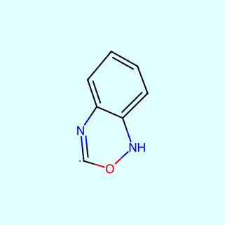 [C]1=Nc2ccccc2NO1